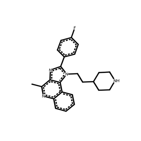 Cc1nc2ccccc2c2c1nc(-c1ccc(F)cc1)n2CCC1CCNCC1